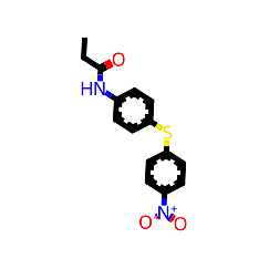 CCC(=O)Nc1ccc(Sc2ccc([N+](=O)[O-])cc2)cc1